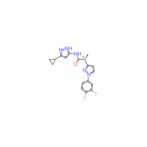 C[C@H](C(=O)Nc1cc(C2CC2)n[nH]1)c1ccn(-c2ccc(F)c(F)c2)n1